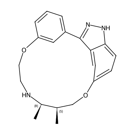 C[C@@H]1COc2ccc3[nH]nc(c3c2)-c2cccc(c2)OCCN[C@@H]1C